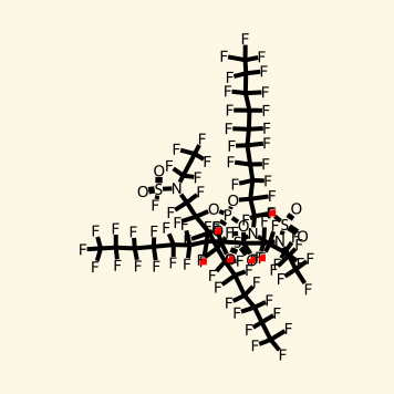 O=P(OC(F)(C(F)(F)N(C(F)(F)C(F)(F)F)S(=O)(=O)F)C(F)(F)C(F)(F)C(F)(F)C(F)(F)C(F)(F)C(F)(F)C(F)(F)C(F)(F)F)(OC(F)(C(F)(F)N(C(F)(F)C(F)(F)F)S(=O)(=O)F)C(F)(F)C(F)(F)C(F)(F)C(F)(F)C(F)(F)C(F)(F)C(F)(F)C(F)(F)F)OC(F)(C(F)(F)N(C(F)(F)C(F)(F)F)S(=O)(=O)F)C(F)(F)C(F)(F)C(F)(F)C(F)(F)C(F)(F)C(F)(F)C(F)(F)C(F)(F)F